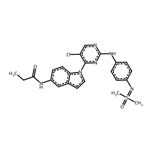 CCC(=O)Nc1ccc2c(ccn2-c2nc(Nc3ccc(N=S(C)(C)=O)cc3)ncc2Cl)c1